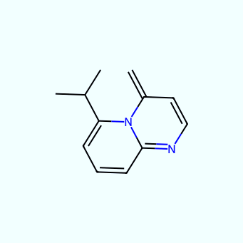 C=C1C=CN=C2C=CC=C(C(C)C)N12